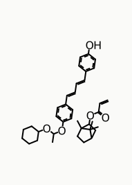 C=CC(=O)OC1CC2CCC1(C)C2(C)C.CC(Oc1ccc(C=CC=Cc2ccc(O)cc2)cc1)OC1CCCCC1